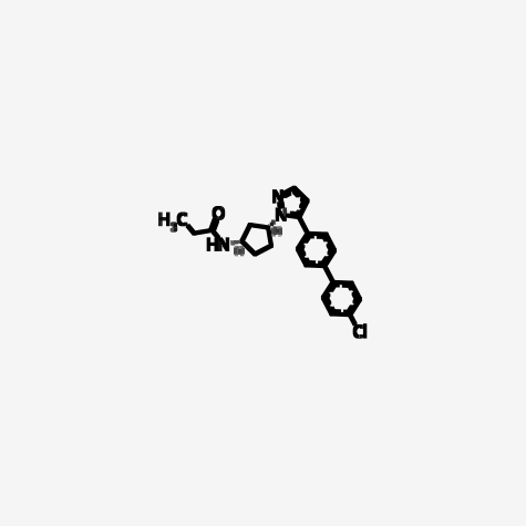 CCC(=O)N[C@H]1CC[C@@H](n2nccc2-c2ccc(-c3ccc(Cl)cc3)cc2)C1